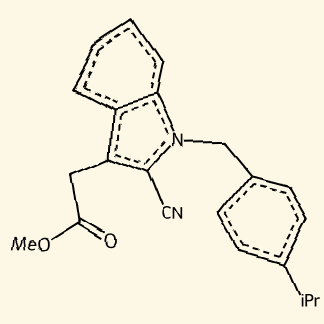 COC(=O)Cc1c(C#N)n(Cc2ccc(C(C)C)cc2)c2ccccc12